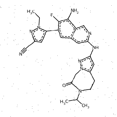 CCn1nc(C#N)cc1-c1cc2cc(Nc3cc4n(n3)CC(=O)N(C(C)C)CC4)ncc2c(N)c1F